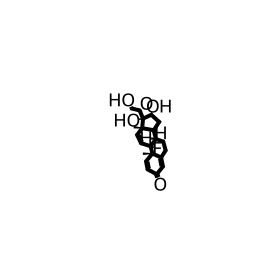 C[C@]12C=CC(=O)C=C1CC[C@H]1[C@@H]3C[C@@H](O)[C@](O)(C(=O)CO)[C@@]3(C)C=C[C@@]12F